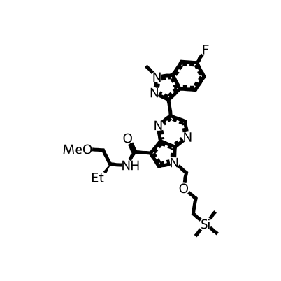 CC[C@@H](COC)NC(=O)c1cn(COCC[Si](C)(C)C)c2ncc(-c3nn(C)c4cc(F)ccc34)nc12